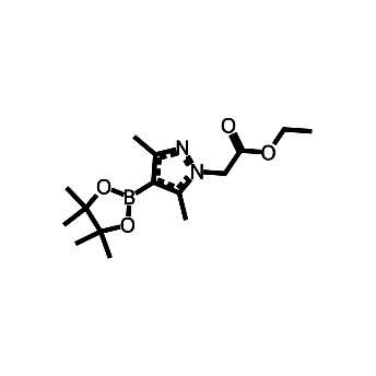 CCOC(=O)Cn1nc(C)c(B2OC(C)(C)C(C)(C)O2)c1C